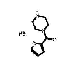 Br.O=C(c1ccco1)N1CCNCC1